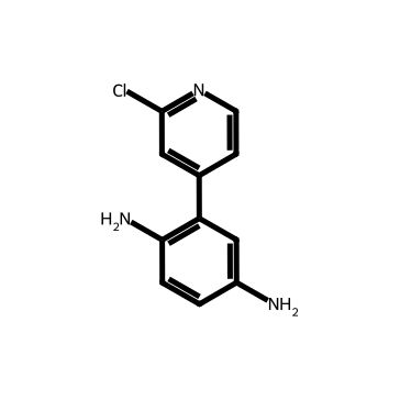 Nc1ccc(N)c(-c2ccnc(Cl)c2)c1